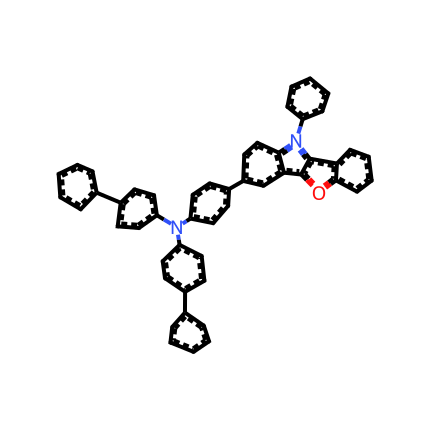 c1ccc(-c2ccc(N(c3ccc(-c4ccccc4)cc3)c3ccc(-c4ccc5c(c4)c4oc6ccccc6c4n5-c4ccccc4)cc3)cc2)cc1